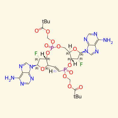 CC(C)(C)C(=O)OCOP1(=O)/C=C/[C@H]2O[C@@H](n3cnc4c(N)ncnc43)[C@H](F)[C@@H]2OP(=O)(OCOC(=O)C(C)(C)C)OC[C@H]2O[C@@H](n3cnc4c(N)ncnc43)[C@H](F)[C@@H]2O1